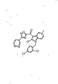 Cc1ccc2c(c1)c(C(=O)c1nc(-c3ccnnc3)no1)c(Cl)n2Cc1ccc(Cl)cc1Cl